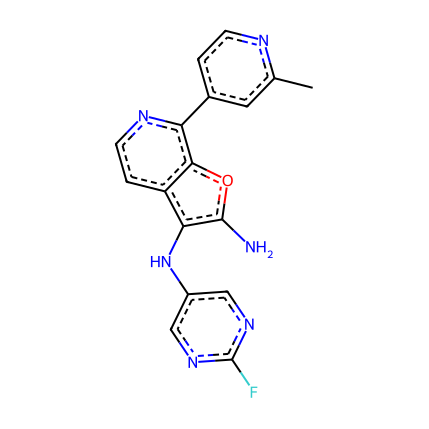 Cc1cc(-c2nccc3c(Nc4cnc(F)nc4)c(N)oc23)ccn1